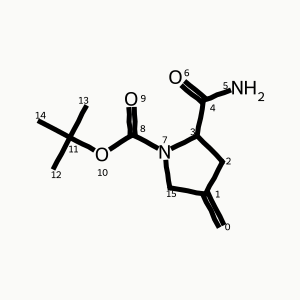 C=C1CC(C(N)=O)N(C(=O)OC(C)(C)C)C1